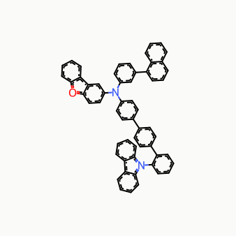 c1cc(-c2cccc3ccccc23)cc(N(c2ccc(-c3ccc(-c4ccccc4-n4c5ccccc5c5ccccc54)cc3)cc2)c2ccc3oc4ccccc4c3c2)c1